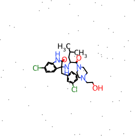 CC(C)CC(NC1(Cc2cccc(Cl)c2)C(=O)Nc2cc(Cl)ccc21)C(=O)N1CCN(CCO)CC1